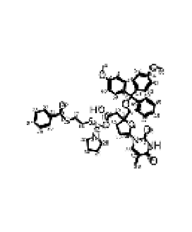 COc1ccc(C(OCC2(C[C@H](O)OP(SCCSC(=O)c3ccccc3)N3CCCC3)CC[C@H](n3cc(C)c(=O)[nH]c3=O)O2)(c2ccccc2)c2ccc(OC)cc2)cc1